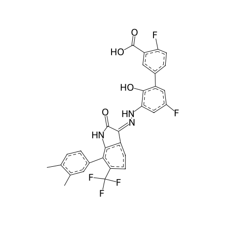 Cc1ccc(-c2c(C(F)(F)F)ccc3c2NC(=O)C3=NNc2cc(F)cc(-c3ccc(F)c(C(=O)O)c3)c2O)cc1C